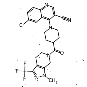 Cn1nc(C(F)(F)F)c2c1CN(C(=O)C1CCN(c3c(C#N)cnc4ccc(Cl)cc34)CC1)CC2